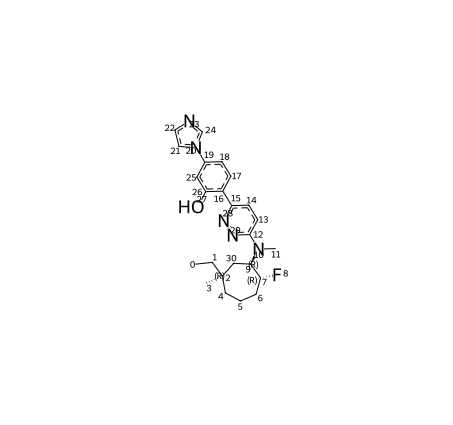 CC[C@]1(C)CCC[C@@H](F)[C@H](N(C)c2ccc(-c3ccc(-n4ccnc4)cc3O)nn2)C1